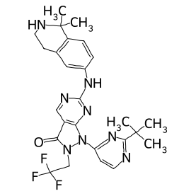 CC(C)(C)c1nccc(-n2c3nc(Nc4ccc5c(c4)CCNC5(C)C)ncc3c(=O)n2CC(F)(F)F)n1